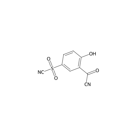 N#CC(=O)c1cc(S(=O)(=O)C#N)ccc1O